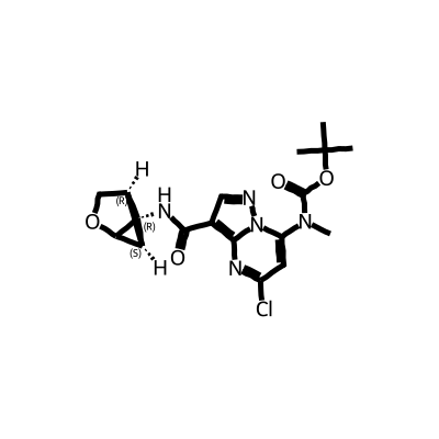 CN(C(=O)OC(C)(C)C)c1cc(Cl)nc2c(C(=O)N[C@]34C5OC[C@@H]3[C@H]54)cnn12